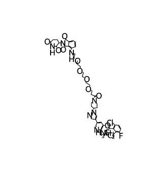 CC(Oc1cc(-c2cnn(C3CCN(C(=O)CCOCCOCCOCCOCCNc4cccc5c4C(=O)N(C4CCC(=O)NC4=O)C5=O)CC3)c2)cnc1N)c1c(Cl)ccc(F)c1Cl